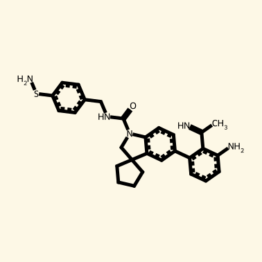 CC(=N)c1c(N)cccc1-c1ccc2c(c1)C1(CCCC1)CN2C(=O)NCc1ccc(SN)cc1